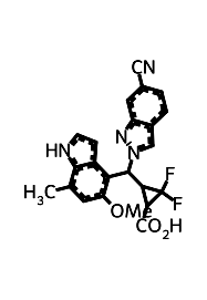 COc1cc(C)c2[nH]ccc2c1C(C1C(C(=O)O)C1(F)F)n1cc2ccc(C#N)cc2n1